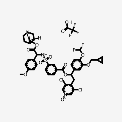 COc1ccc(C(NS(=O)(=O)c2cccc(C(=O)OC(Cc3c(Cl)c[n+]([O-])cc3Cl)c3ccc(OC(F)F)c(OCC4CC4)c3)c2)C(=O)O[C@H]2CN3CCC2CC3)cc1.O=C(O)C(F)(F)F